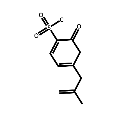 C=C(C)CC1=CC=C(S(=O)(=O)Cl)C(=O)C1